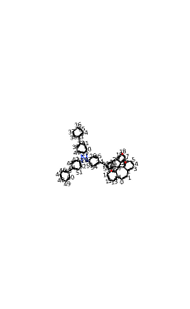 C1=Cc2ccccc2C2(c3ccccc31)c1ccccc1-c1cc(-c3ccc(N(c4ccc(-c5ccccc5)cc4)c4ccc(-c5ccccc5)cc4)cc3)ccc12